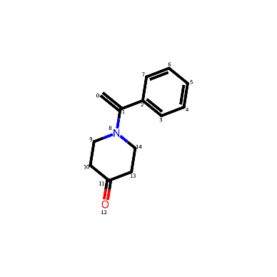 C=C(c1ccccc1)N1CCC(=O)CC1